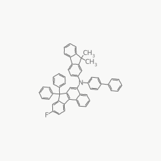 CC1(C)c2ccccc2-c2ccc(N(c3ccc(-c4ccccc4)cc3)c3cc4c(c5ccccc35)-c3ccc(F)cc3C4(c3ccccc3)c3ccccc3)cc21